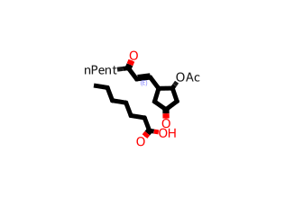 CCCCCC(=O)/C=C/C1CC(=O)CC1OC(C)=O.CCCCCCC(=O)O